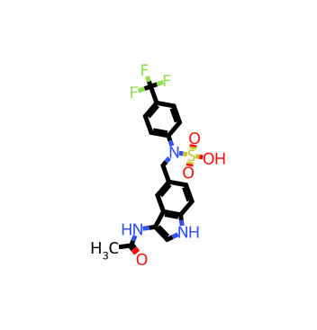 CC(=O)Nc1c[nH]c2ccc(CN(c3ccc(C(F)(F)F)cc3)S(=O)(=O)O)cc12